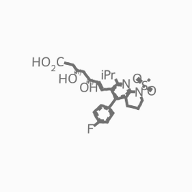 CC(C)c1nc2c(c(-c3ccc(F)cc3)c1C=C[C@H](O)C[C@@H](O)CC(=O)O)CCCN2S(C)(=O)=O